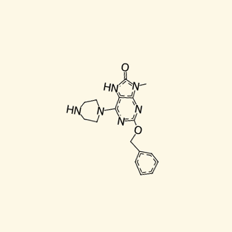 Cn1c(=O)[nH]c2c(N3CCNCC3)nc(OCc3ccccc3)nc21